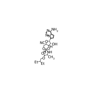 CCC(CC)COC(=O)[C@H](C)NP1(=O)OC[C@@]2(C#N)O[C@@H](c3ccc4c(N)ncnn34)[C@H](O)[C@@H]2O1